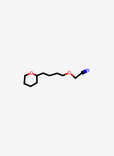 N#CCOCCCCC1CCCCO1